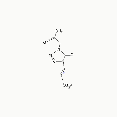 NC(=O)Cn1nnn(/C=C/C(=O)O)c1=O